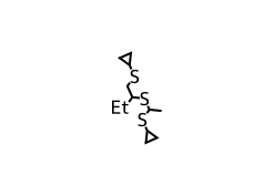 CCC(CSC1CC1)SC(C)SC1CC1